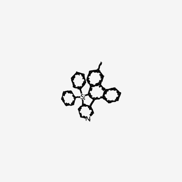 Cc1ccc2c3c(c4ccccc4c2c1)-c1cnccc1[Si]3(c1ccccc1)c1ccccc1